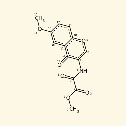 COC(=O)C(=O)Nc1coc2ccc(OC)cc2c1=O